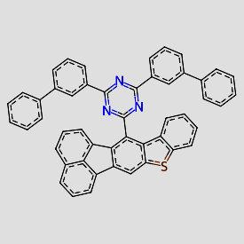 c1ccc(-c2cccc(-c3nc(-c4cccc(-c5ccccc5)c4)nc(-c4c5c(cc6sc7ccccc7c46)-c4cccc6cccc-5c46)n3)c2)cc1